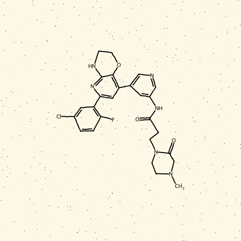 CN1CCN(CCC(=O)Nc2cncc(-c3cc(-c4cc(Cl)ccc4F)nc4c3OCCN4)c2)C(=O)C1